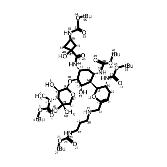 CN(C(=O)OC(C)(C)C)[C@@H]1[C@@H](O)[C@@H](O[C@@H]2[C@@H](O)[C@H](C3OC(CNCCCNC(=O)OC(C)(C)C)=CC[C@H]3NC(=O)OC(C)(C)C)[C@@H](NC(=O)OC(C)(C)C)C[C@H]2NC(=O)C2(O)CC(NC(=O)OC(C)(C)C)C2)OC[C@]1(C)O